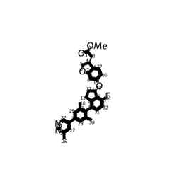 COC(=O)C[C@@H]1COc2cc(O[C@@H]3CCc4c(-c5c(C)cc(-c6cnnc(C)c6)cc5C)ccc(F)c43)ccc21